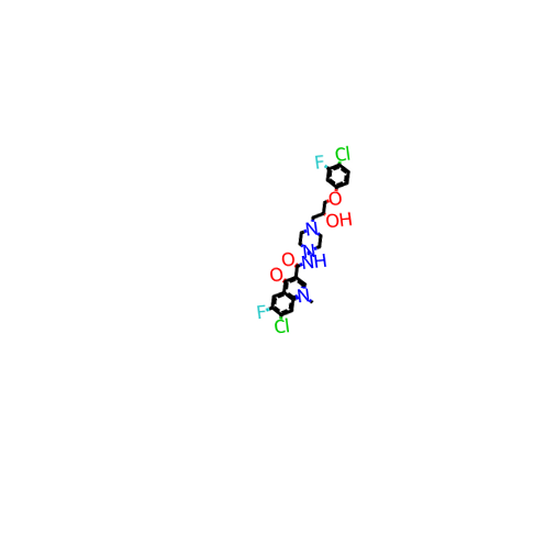 Cn1cc(C(=O)NN2CCN(CC(O)COc3ccc(Cl)c(F)c3)CC2)c(=O)c2cc(F)c(Cl)cc21